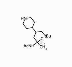 CC(=O)NC(C)(C)CC(CC(C)(C)C)C1CCNCC1